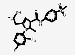 CC1C(C(=O)Nc2ccc(S(C)(=O)=O)cc2)C=C(C[C@H](C)O)N1c1ccc(F)cc1C(F)(F)F